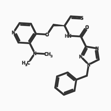 CN(C)c1cnccc1OC[C@@H](C=S)NC(=O)c1ncn(Cc2ccccc2)n1